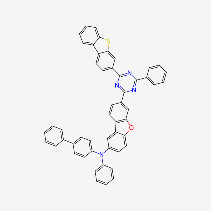 c1ccc(-c2ccc(N(c3ccccc3)c3ccc4oc5cc(-c6nc(-c7ccccc7)nc(-c7ccc8c(c7)sc7ccccc78)n6)ccc5c4c3)cc2)cc1